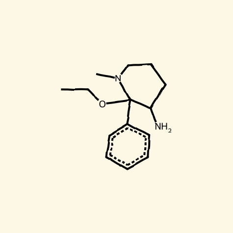 CCOC1(c2ccccc2)C(N)CCCN1C